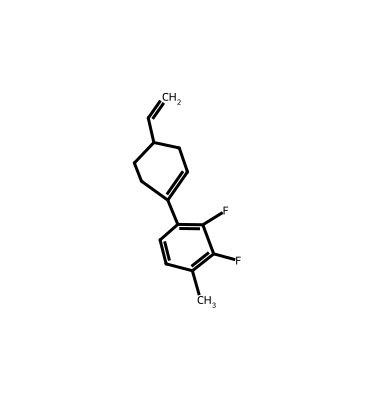 C=CC1CC=C(c2ccc(C)c(F)c2F)CC1